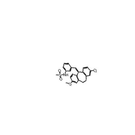 COc1ccc2c(c1)CCc1cc(Cl)ccc1/C2=C/c1cccc(NS(C)(=O)=O)c1